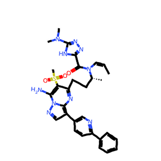 C/C=C\N(C(=O)c1nnc(N(C)C)[nH]1)[C@H](C)CCc1nc2c(-c3ccc(-c4ccccc4)nc3)cnn2c(N)c1S(C)(=O)=O